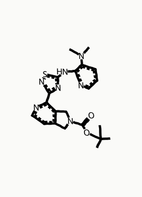 CN(C)c1cccnc1Nc1nc(-c2nccc3c2CN(C(=O)OC(C)(C)C)C3)ns1